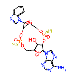 Nc1ncnc2c1ncn2C1OC2COP(=O)(S)OC3C(O)C(COP(=O)(S)OC1C2O)OC3n1cnc2ccccc21